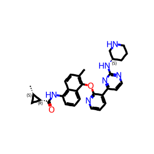 Cc1ccc2c(NC(=O)[C@@H]3C[C@@H]3C)cccc2c1Oc1ncccc1-c1ccnc(N[C@H]2CCCNC2)n1